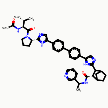 COC(=O)N[C@H](C(=O)N1CCC[C@H]1c1ncc(-c2ccc(-c3ccc(-c4cnc(C5C6CCC(C6)[C@@H]5C(=O)NC(C)c5cccnc5)[nH]4)cc3)cc2)[nH]1)[C@@H](C)OC